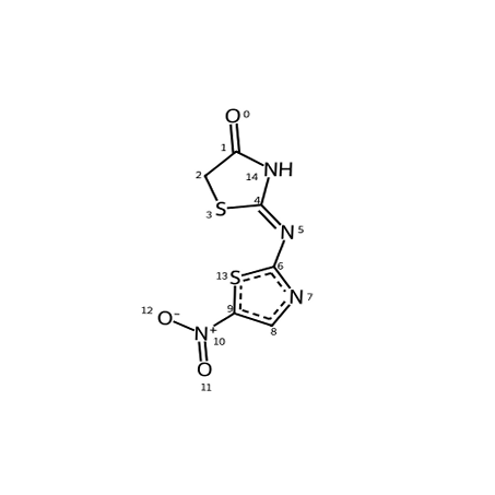 O=C1CSC(=Nc2ncc([N+](=O)[O-])s2)N1